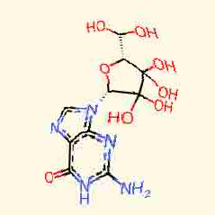 Nc1nc2c(ncn2[C@@H]2O[C@H](C(O)O)C(O)(O)C2(O)O)c(=O)[nH]1